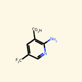 Nc1ncc(C(F)(F)F)cc1C(=O)O